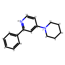 c1ccc(-c2cc(N3CCCCC3)ccn2)cc1